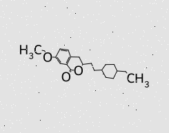 CCOc1ccc2c(c1)C(=O)OC(CCC1CCC(CC)CC1)C2